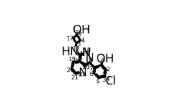 Oc1cc(Cl)ccc1-c1nnc(NC2CC(O)C2)c2cccnc12